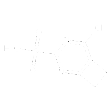 CS(=O)(=O)c1nc(Cl)c2c(n1)CC2